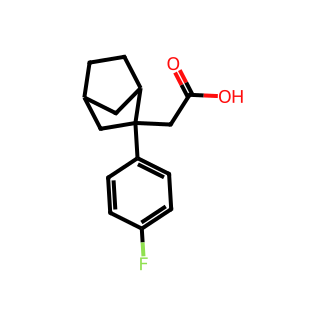 O=C(O)CC1(c2ccc(F)cc2)CC2CCC1C2